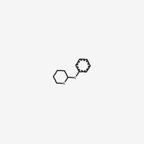 c1ccc(SC2CCCCS2)cc1